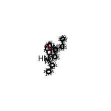 C1=CC2=CC(C3NN=C(c4cccc(-c5ccccc5)c4)O3)C(c3ccccc3-c3cc(-c4cccc(-c5ccccc5)c4)nc(-c4ccccc4)n3)CC2C=C1